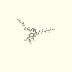 CCCCCCCCOC(=O)c1ccccc1C(=O)OCCCCCCCC.CCN(CC)CC